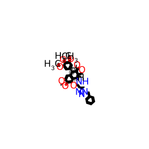 COc1cc([C@@H]2c3cc4c(cc3[C@@H](NC(=O)c3cn(Cc5ccccc5)nn3)[C@H]3COC(=O)[C@H]23)OCO4)cc(OC)c1OC